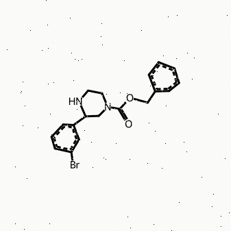 O=C(OCc1ccccc1)N1CCNC(c2cccc(Br)c2)C1